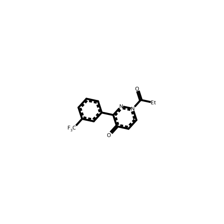 CCC(=O)n1ccc(=O)c(-c2cccc(C(F)(F)F)c2)n1